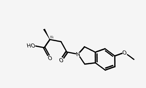 COc1ccc2c(c1)CN(C(=O)C[C@H](C)C(=O)O)C2